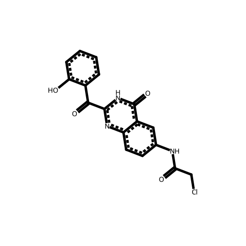 O=C(CCl)Nc1ccc2nc(C(=O)c3ccccc3O)[nH]c(=O)c2c1